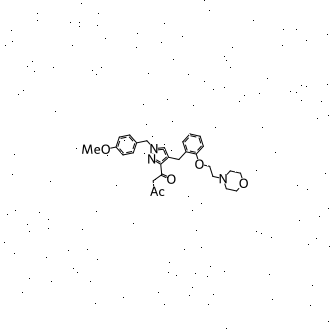 COc1ccc(Cn2cc(Cc3ccccc3OCCN3CCOCC3)c(C(=O)CC(C)=O)n2)cc1